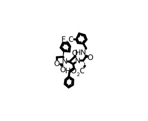 O=C(O)C[C@@H](C(=O)NCc1cccc(C(F)(F)F)c1)N1C(=O)C(N2C(=O)OC[C@H]2c2ccccc2)C1C=Cc1ccccc1